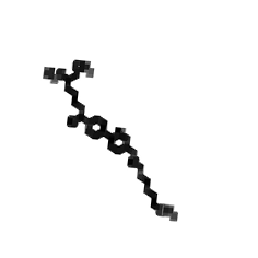 CCCCCCCOCc1ccc(-c2ccc(C(=O)CCCCC(C)CC)cc2)nc1